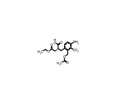 CCOC(=O)C[C@H](Cc1ccc(N)c(C)c1COC(C)=O)C(=O)O